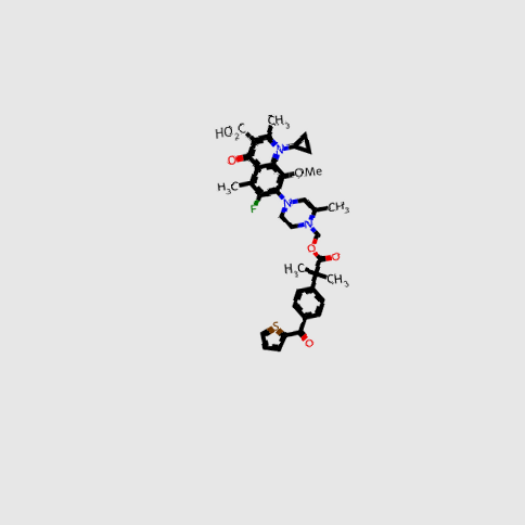 COc1c(N2CCN(COC(=O)C(C)(C)c3ccc(C(=O)c4cccs4)cc3)C(C)C2)c(F)c(C)c2c(=O)c(C(=O)O)c(C)n(C3CC3)c12